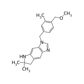 COCc1ccc(Cn2cnc3cc4c(cc32)NC(C)(C)C4)cc1C